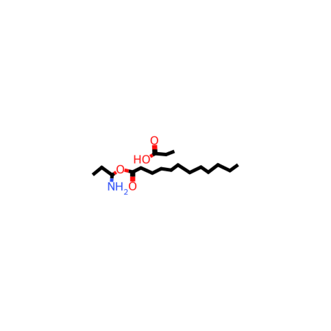 CCC(=O)O.CCCCCCCCCCCC(=O)OC(N)CC